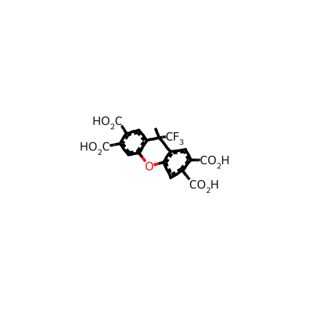 CC1(C(F)(F)F)c2cc(C(=O)O)c(C(=O)O)cc2Oc2cc(C(=O)O)c(C(=O)O)cc21